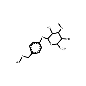 CC(C)(C)OCc1ccc(OC2OC(C(=O)O)C(O)C(OI)C2O)cc1